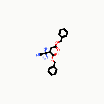 N#CC(N)(N)C(CC(=O)OCc1ccccc1)C(=O)OCc1ccccc1